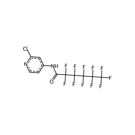 O=C(Nc1ccnc(Cl)c1)C(F)(F)C(F)(F)C(F)(F)C(F)(F)C(F)(F)F